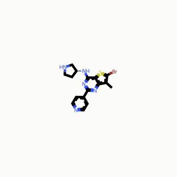 Cc1c(Br)sc2c(N[C@@H]3CCNC3)nc(-c3ccncc3)nc12